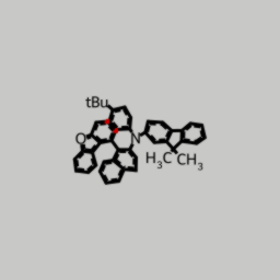 CC(C)(C)c1ccc(N(c2ccc3c(c2)C(C)(C)c2ccccc2-3)c2ccc3ccccc3c2-c2cccc3oc4ccccc4c23)cc1